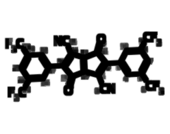 N#Cc1c(-c2cc(C(F)(F)F)cc(C(F)(F)F)c2)c(=O)c2c(C#N)c(-c3cc(C(F)(F)F)cc(C(F)(F)F)c3)c(=O)c1=2